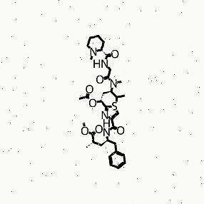 COC(=O)[C@@H](C)C[C@H](Cc1ccccc1)NC(=O)c1csc([C@@H](C[C@H](C(C)C)N(C)C(=O)CNC(=O)[C@H]2CCCCN2C)OC(C)=O)n1